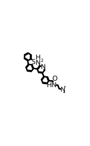 CN(C)CCNC(=O)c1cccc(-c2cnc(N)c(-c3cccc4c3sc3ccccc34)c2)c1